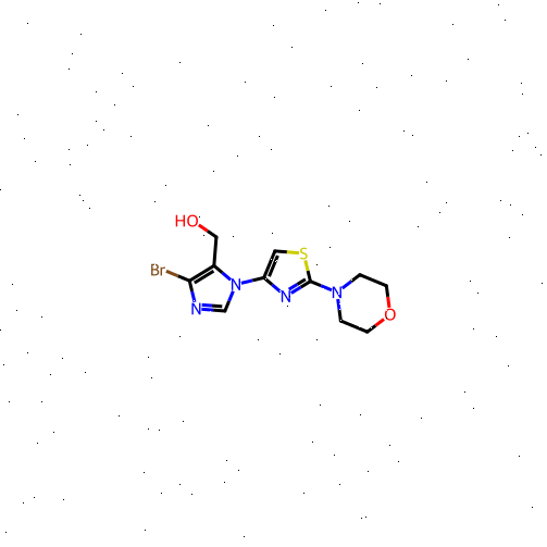 OCc1c(Br)ncn1-c1csc(N2CCOCC2)n1